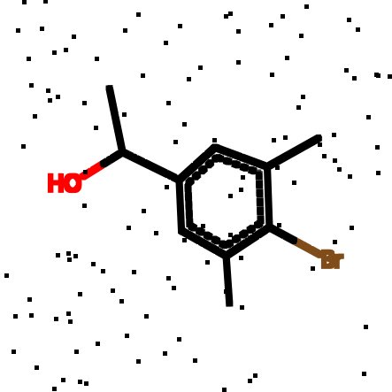 Cc1cc(C(C)O)cc(C)c1Br